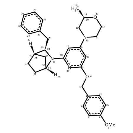 COc1ccc(COc2cc(N3CCO[C@H](C)C3)cc(N3[C@@H]4CC[C@@H](C4)[C@H]3Cc3ccccc3)n2)cc1